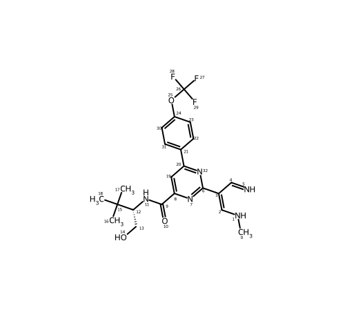 CN/C=C(\C=N)c1nc(C(=O)N[C@H](CO)C(C)(C)C)cc(-c2ccc(OC(F)(F)F)cc2)n1